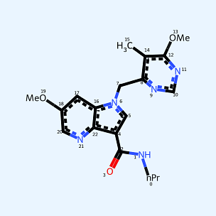 CCCNC(=O)c1cn(Cc2ncnc(OC)c2C)c2cc(OC)cnc12